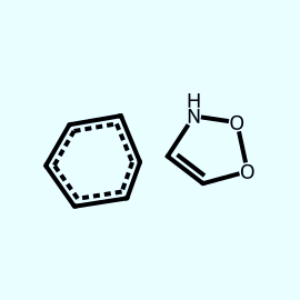 C1=COON1.c1ccccc1